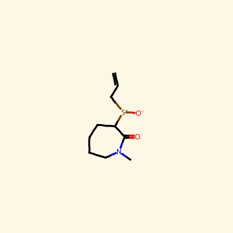 C=CC[S+]([O-])C1CCCCN(C)C1=O